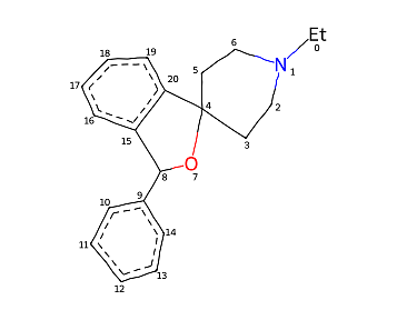 CCN1CCC2(CC1)OC(c1ccccc1)c1ccccc12